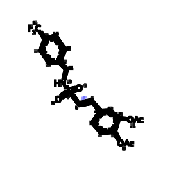 CC(=O)Oc1ccc(/C=C/S(=O)(=O)NCc2ccc(C(F)(F)F)cc2)cc1OC(C)=O